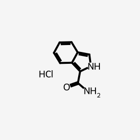 Cl.NC(=O)c1[nH]cc2ccccc12